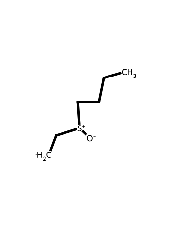 [CH2]C[S+]([O-])CCCC